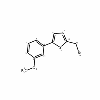 FC(F)(F)Oc1cccc(-c2cnc(CBr)s2)c1